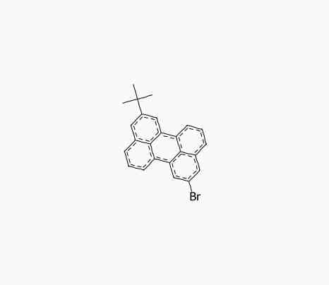 CC(C)(C)c1cc2cccc3c4cc(Br)cc5cccc(c(c1)c23)c54